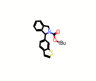 CC(C)(C)OC(=O)N1Cc2ccccc2C1c1ccc2ccsc2c1